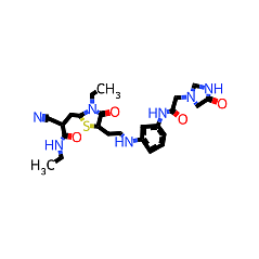 CCNC(=O)C(C#N)CC1SC(CCNc2cccc(NC(=O)CN3CNC(=O)C3)c2)C(=O)N1CC